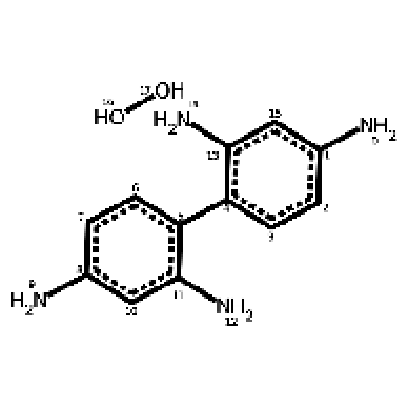 Nc1ccc(-c2ccc(N)cc2N)c(N)c1.OO